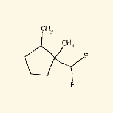 CC1CCCC1(C)C(F)F